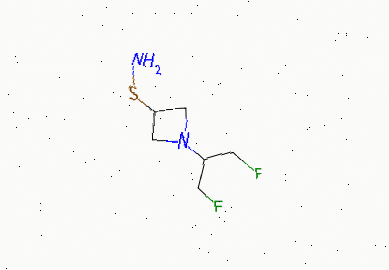 NSC1CN(C(CF)CF)C1